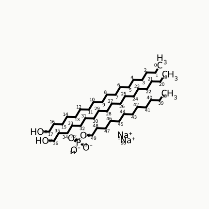 CCCCCCCCCCCCCCCCCCO.CCCCCCCCCCCCCCCCCCO.CCCCCCCCCCCCOP(=O)([O-])[O-].[Na+].[Na+]